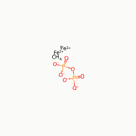 C.O=P([O-])([O-])OP(=O)([O-])[O-].[Fe+2].[Fe+2]